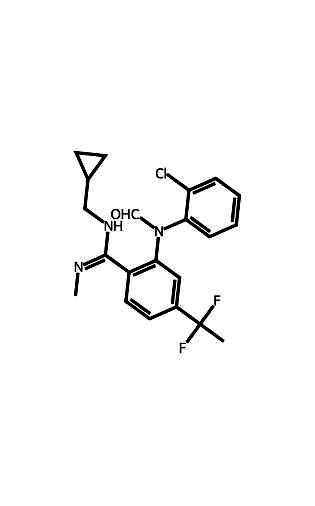 C/N=C(/NCC1CC1)c1ccc(C(C)(F)F)cc1N(C=O)c1ccccc1Cl